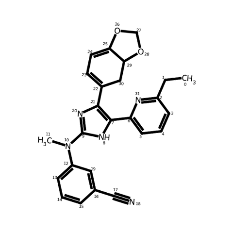 CCc1cccc(-c2[nH]c(N(C)c3cccc(C#N)c3)nc2C2=CC=C3OCOC3C2)n1